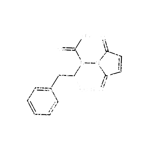 CCCCCCCCCCC(=O)N([C@@H](Cc1ccccc1)C(=O)O)N1C(=O)C=CC1=O